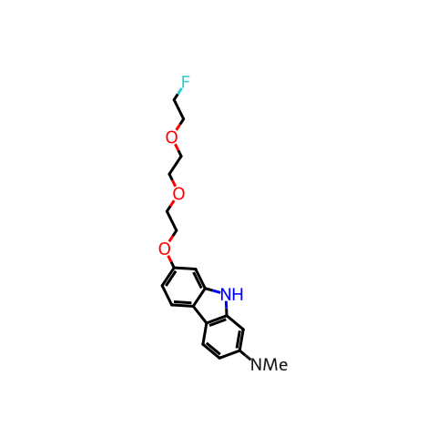 CNc1ccc2c(c1)[nH]c1cc(OCCOCCOCCF)ccc12